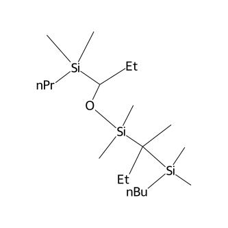 CCCC[Si](C)(C)C(C)(CC)[Si](C)(C)OC(CC)[Si](C)(C)CCC